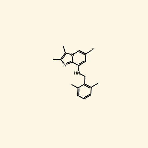 Cc1cccc(C)c1CNc1cc(F)cn2c(C)c(C)nc12